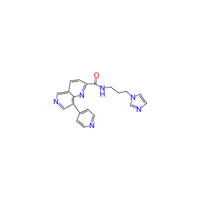 O=C(NCCCn1ccnc1)c1ccc2cncc(-c3ccncc3)c2n1